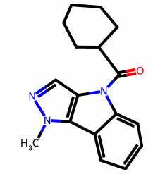 Cn1ncc2c1c1ccccc1n2C(=O)C1CCCCC1